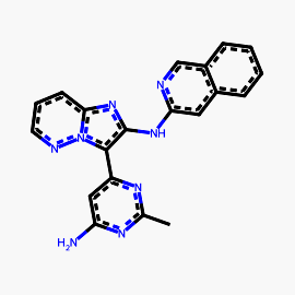 Cc1nc(N)cc(-c2c(Nc3cc4ccccc4cn3)nc3cccnn23)n1